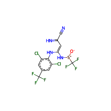 N#CC(=N)/C=C(\Nc1c(Cl)cc(C(F)(F)F)cc1Cl)N[S+]([O-])C(F)(F)F